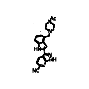 CC(=O)N1CCN(Cc2cccc3[nH]c(-c4n[nH]c5cc(C#N)ccc45)cc23)CC1